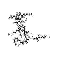 CC(COC(=O)[C@@H](N)CCCN)OC(=O)[C@@H](N)CO.CO.COC(=O)[C@@H](N)CCCN.COC(=O)[C@@H](N)CCSC.CSCC[C@H](N)C(=O)OC(=O)[C@@H](N)CCCN.CSCC[C@H](N)C(=O)OC(=O)[C@@H](N)Cc1ccccc1